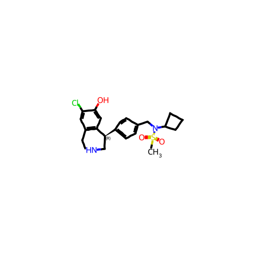 CS(=O)(=O)N(Cc1ccc([C@H]2CNCCc3cc(Cl)c(O)cc32)cc1)C1CCC1